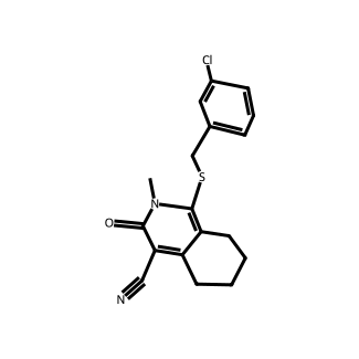 Cn1c(SCc2cccc(Cl)c2)c2c(c(C#N)c1=O)CCCC2